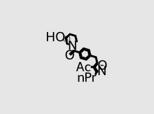 CCCc1noc(Cc2ccc(C(=O)N3CCC[C@@H](O)C3)cc2)c1C(C)=O